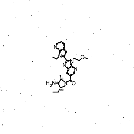 CC[C@@H]1CN(C(=O)c2cnc3c(c2)nc(-c2cc4cccnc4n2CC)n3CCOC)[C@H](C)[C@@H]1N